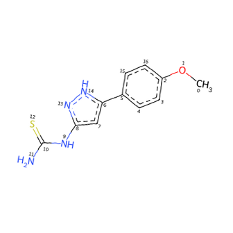 COc1ccc(-c2cc(NC(N)=S)n[nH]2)cc1